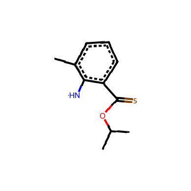 Cc1cccc(C(=S)OC(C)C)c1[NH]